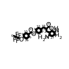 CC(F)(F)C(F)(F)Oc1ccc(C(=O)Oc2ccc(/C=C(\Cc3cc(N)ccc3N)C(=O)O)cc2)cc1